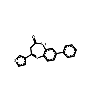 O=C1CC(c2ccsc2)=Nc2ccc(-c3ccccc3)cc2N1